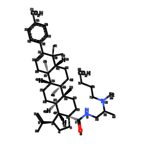 C=C(C)[C@@H]1CC[C@]2(C(=O)NCC(C)N(CC)CCCC(=O)O)CC[C@]3(C)[C@H](CC[C@@H]4[C@@]5(C)CC=C(c6ccc(C(=O)O)cc6)C(C)(C)[C@@H]5CC[C@]43C)[C@@H]12